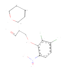 O=CC(COc1c([N+](=O)[O-])ccc(F)c1F)[C@H]1CCCCO1